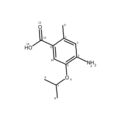 Cc1cc(N)c(OC(C)C)cc1C(=O)O